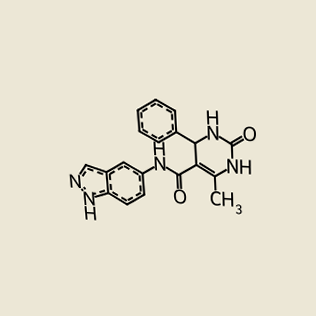 CC1=C(C(=O)Nc2ccc3[nH]ncc3c2)C(c2ccccc2)NC(=O)N1